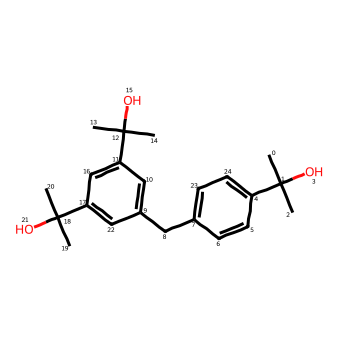 CC(C)(O)c1ccc(Cc2cc(C(C)(C)O)cc(C(C)(C)O)c2)cc1